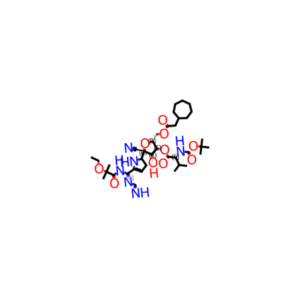 CCOC(C)(C)C(=O)N/C(=N/C=N)C1=CCC([C@]2(C#N)O[C@H](COC(=O)CC3CCCCCC3)[C@@H](OC(=O)[C@@H](NC(=O)OC(C)(C)C)C(C)C)[C@H]2O)N1